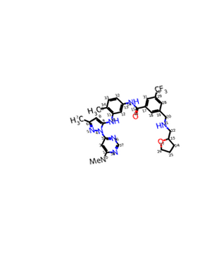 CNc1cc(-n2nc(C)cc2Nc2cc(NC(=O)c3cc(CNCC4CCCO4)cc(C(F)(F)F)c3)ccc2C)ncn1